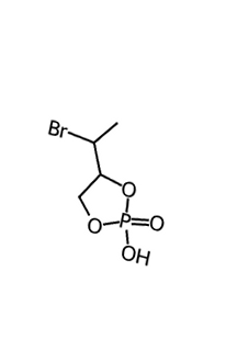 CC(Br)C1COP(=O)(O)O1